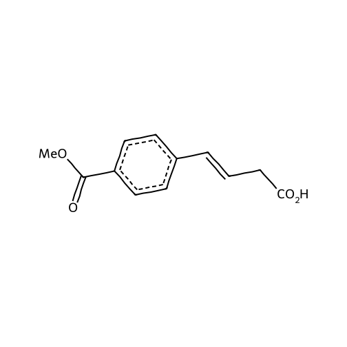 COC(=O)c1ccc(C=CCC(=O)O)cc1